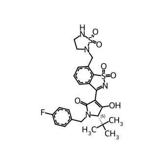 CC(C)(C)[C@H]1C(O)=C(C2=NS(=O)(=O)c3c(CN4CCNS4(=O)=O)cccc32)C(=O)N1Cc1ccc(F)cc1